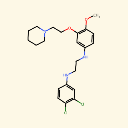 COc1ccc(NCCNc2ccc(Cl)c(Cl)c2)cc1OCCN1CCCCC1